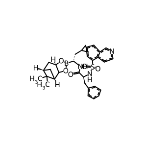 CC1(C)[C@H]2C[C@@H]1C1OB([C@H](CC3CC3)NC(=O)[C@H](Cc3ccccc3)NS(=O)(=O)c3cccc4cnccc34)O[C@@H]1C2